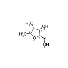 CC1[C@H](C)O[C@H](CO)[C@@H]1O